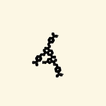 O=C(OCc1ccc([N+](=O)[O-])cc1)C1CN(C(=O)[C@@H]2C[C@H](S)CN2C(=O)OCc2ccc([N+](=O)[O-])cc2)CCN1C(=O)OCc1ccc([N+](=O)[O-])cc1